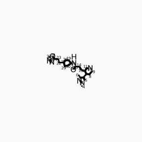 Cc1nn(C)cc1-c1ccncc1/C=C/C(=O)Nc1ccc(CCc2nnco2)cc1